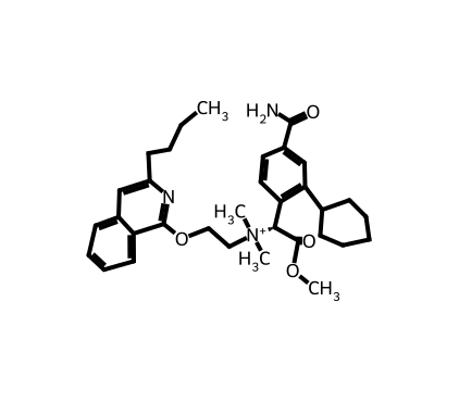 CCCCc1cc2ccccc2c(OCC[N+](C)(C)[C@@H](C(=O)OC)c2ccc(C(N)=O)cc2C2CCCCC2)n1